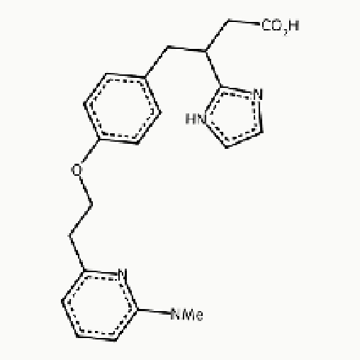 CNc1cccc(CCOc2ccc(CC(CC(=O)O)c3ncc[nH]3)cc2)n1